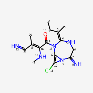 CC/C(C)=C1/NCC(=N)N2C(Cl)=C2N1C(=O)/C(NC)=C(\C)C=N